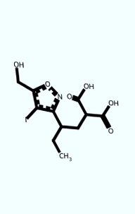 CCC(CC(C(=O)O)C(=O)O)c1noc(CO)c1I